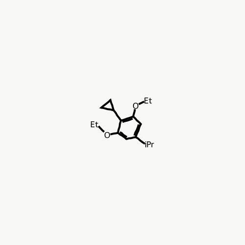 CCOc1cc(C(C)C)cc(OCC)c1C1CC1